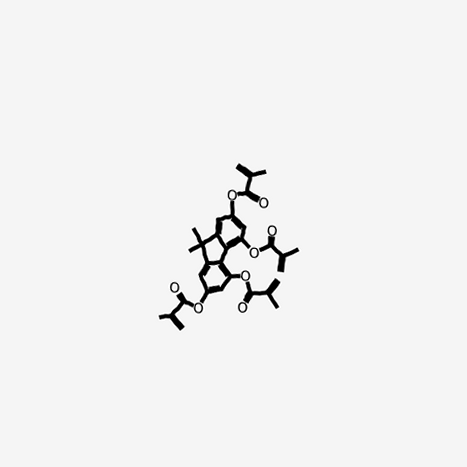 C=C(C)C(=O)Oc1cc(OC(=O)C(=C)C)c2c(c1)C(C)(C)c1cc(OC(=O)C(=C)C)cc(OC(=O)C(=C)C)c1-2